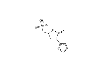 CS(=O)(=O)CC1CN(c2cccs2)C(=O)O1